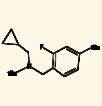 CC(C)(C)c1ccc(CN(CC2CC2)C(C)(C)C)c(F)c1